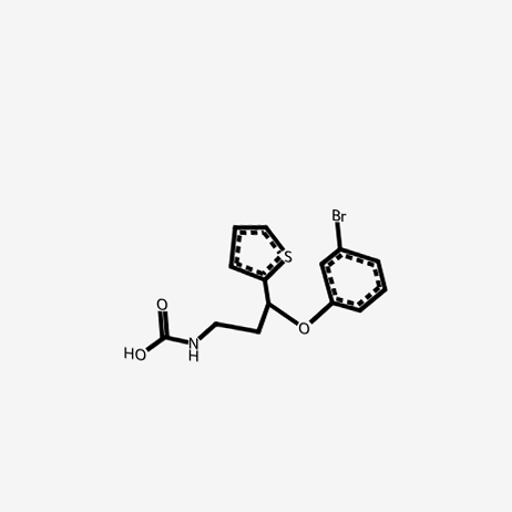 O=C(O)NCCC(Oc1cccc(Br)c1)c1cccs1